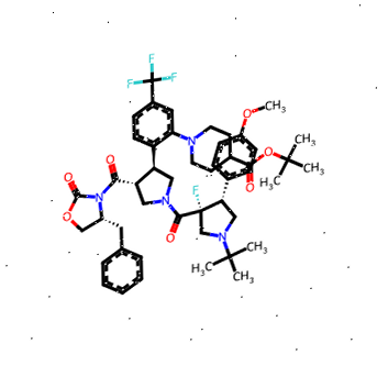 COc1ccc([C@@H]2CN(C(C)(C)C)C[C@@]2(F)C(=O)N2C[C@H](C(=O)N3C(=O)OC[C@H]3Cc3ccccc3)[C@@H](c3ccc(C(F)(F)F)cc3N3CCC(C(=O)OC(C)(C)C)CC3)C2)cc1